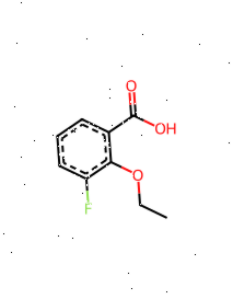 CCOc1c(F)cccc1C(=O)O